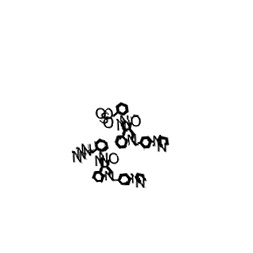 CS(=O)(=O)OCc1ccccc1-n1nc2c3ccccc3n(Cc3ccc(-n4cccn4)cc3)cc-2c1=O.[N-]=[N+]=NCc1ccccc1-n1nc2c3ccccc3n(Cc3ccc(-n4cccn4)cc3)cc-2c1=O